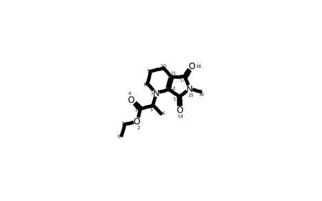 CCOC(=O)C(C)N1CCCC2=C1C(=O)N(C)C2=O